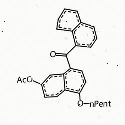 CCCCCOc1ccc(C(=O)c2cccc3ccccc23)c2cc(OC(C)=O)ccc12